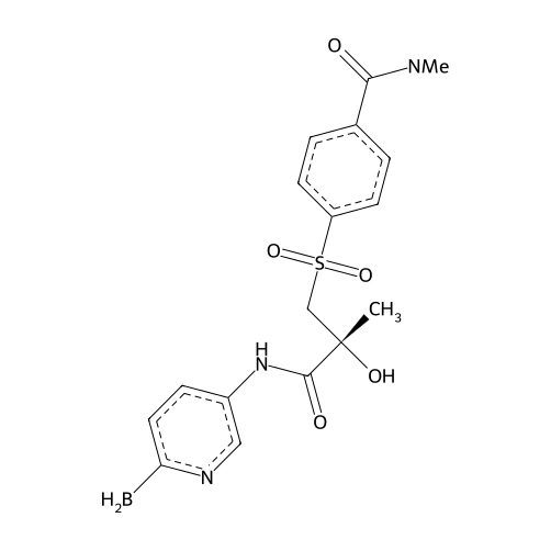 Bc1ccc(NC(=O)[C@@](C)(O)CS(=O)(=O)c2ccc(C(=O)NC)cc2)cn1